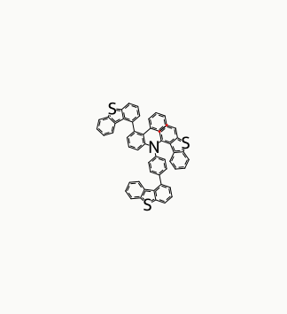 c1ccc(-c2c(-c3cccc4sc5ccccc5c34)cccc2N(c2ccc(-c3cccc4sc5ccccc5c34)cc2)c2cccc3sc4ccccc4c23)cc1